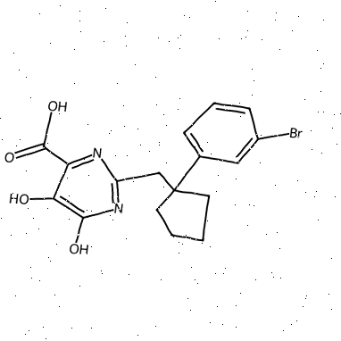 O=C(O)c1nc(CC2(c3cccc(Br)c3)CCCC2)nc(O)c1O